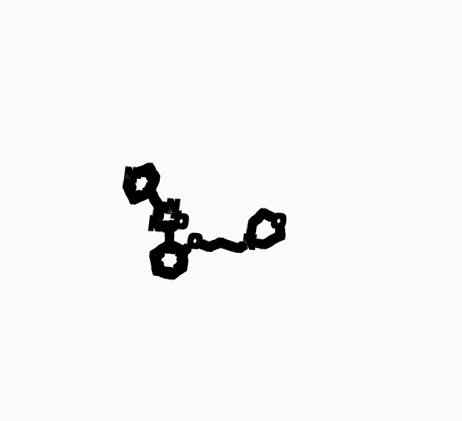 c1ccc(-c2nc(-c3ccncc3)no2)c(OCCCN2CCOCC2)c1